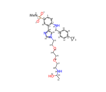 CNS(=O)(=O)c1ccc(NCc2ccc(C(F)(F)F)cc2)c(-c2cn(CCOCCOCCNC(C)O)cn2)c1